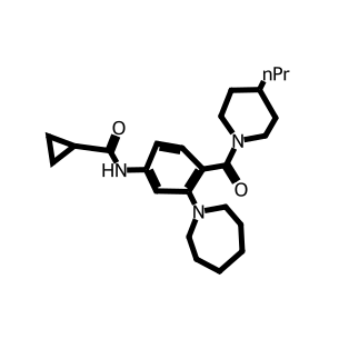 CCCC1CCN(C(=O)c2ccc(NC(=O)C3CC3)cc2N2CCCCCC2)CC1